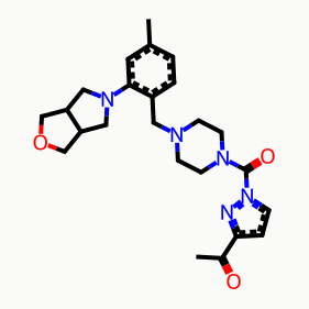 CC(=O)c1ccn(C(=O)N2CCN(Cc3ccc(C)cc3N3CC4COCC4C3)CC2)n1